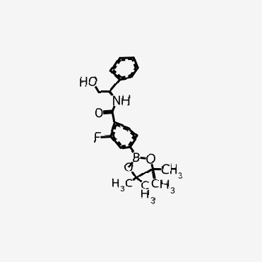 CC1(C)OB(c2ccc(C(=O)NC(CO)c3ccccc3)c(F)c2)OC1(C)C